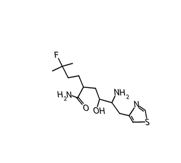 CC(C)(F)CCC(CC(O)C(N)Cc1cscn1)C(N)=O